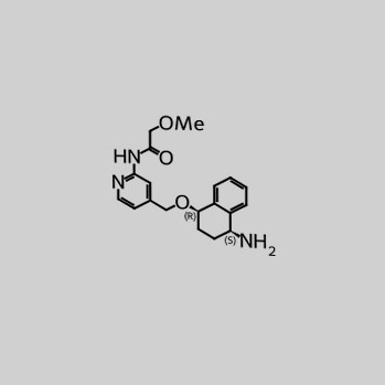 COCC(=O)Nc1cc(CO[C@@H]2CC[C@H](N)c3ccccc32)ccn1